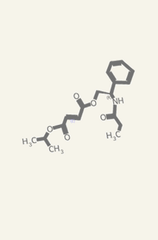 CCC(=O)N[C@@H](COC(=O)/C=C/C(=O)OC(C)C)c1ccccc1